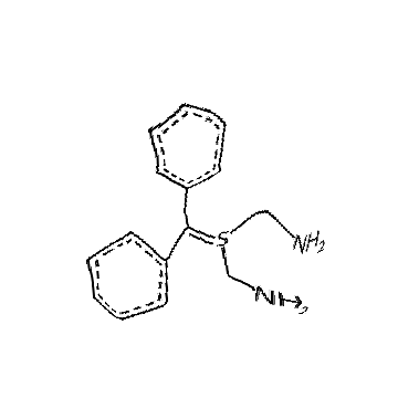 NCS(CN)=C(c1ccccc1)c1ccccc1